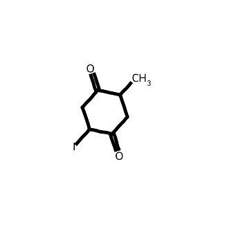 CC1CC(=O)C(I)CC1=O